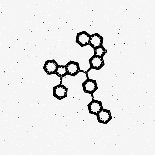 c1ccc(-n2c3ccccc3c3ccc(N(c4ccc(-c5ccc6ccccc6c5)cc4)c4ccc5oc6ccc7ccccc7c6c5c4)cc32)cc1